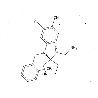 N#Cc1ccc(N(Cc2ccccc2C(F)(F)F)[C@@]2(C(=O)CN)CCNC2)cc1Cl